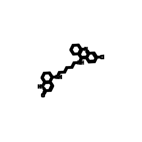 O=c1ccc2c([nH]1)CCCC2NCCCCCNc1c2c(nc3cc(Cl)ccc13)CCCC2